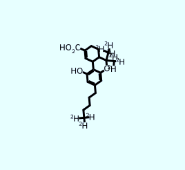 [2H]C([2H])([2H])CCCCc1cc(O)c2c(c1)OC(C([2H])([2H])[2H])(C([2H])([2H])[2H])C1CCC(C(=O)O)=CC21